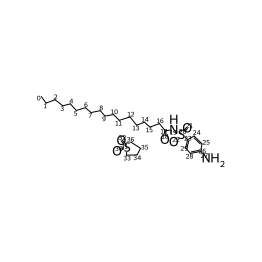 CCCCCCCCCCCCCCCCCC(=O)NS(=O)(=O)c1ccc(N)cc1.O=S1(=O)CCCC1